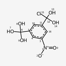 O=[N+]([O-])c1cc(C(O)(O)O)cc(C(O)(O)Cl)c1